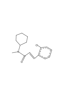 CN(C(=O)C=Cc1ccccc1Cl)C1CCCCC1